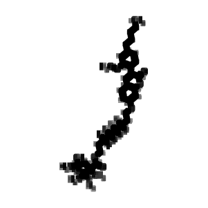 CCCCCc1ccc(-c2cc3ccc(OCCC(F)(F)C(F)(F)C(F)(F)C(F)(F)CCOC(=O)C(C)(CC(C)(C)N)C(C)(C)N)cc3oc2=O)c(OC)c1